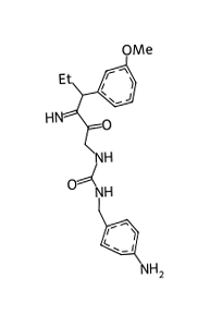 CCC(C(=N)C(=O)CNC(=O)NCc1ccc(N)cc1)c1cccc(OC)c1